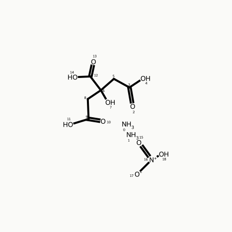 N.N.O=C(O)CC(O)(CC(=O)O)C(=O)O.O=[N+]([O-])O